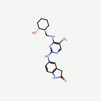 O=C1Cc2cc(Nc3ncc(C(F)(F)F)c(NC[C@@H]4CCCC[C@H]4O)n3)ccc2N1